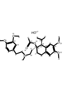 COc1ccc(CCN(C)CC[C@@]2(OC(C)=O)CCc3cc(OC)c(OC)cc3[C@@H]2C(C)C)cc1OC.Cl